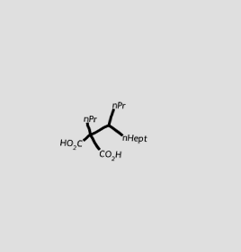 CCCCCCCC(CCC)C(CCC)(C(=O)O)C(=O)O